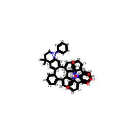 CC1(C)CCN(c2ccccc2)c2cc3c(cc21)-c1ccccc1-c1cccc(-n2c4ccccc4c4ccccc42)c1-c1c-3cccc1-n1c2ccccc2c2ccccc21